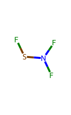 FSN(F)F